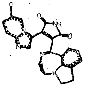 O=C1NC(=O)C(c2cnc3ccc(Cl)cn23)=C1C1=NC=CN2CCc3cccc1c32